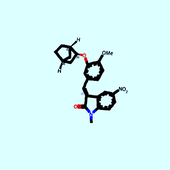 COc1ccc(/C=C2/C(=O)N(C)c3ccc([N+](=O)[O-])cc32)cc1O[C@H]1C[C@@H]2CC[C@H]1C2